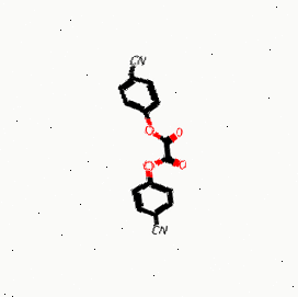 N#Cc1ccc(OC(=O)C(=O)Oc2ccc(C#N)cc2)cc1